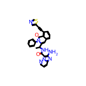 CC(NC(=O)c1c(N)nc2cccnn12)c1cc2cccc(C#Cc3cncs3)c2c(=O)n1-c1ccccc1